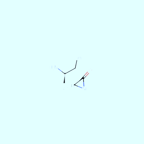 CC(C)C[C@H](N)C(=O)O.O=C1CN1